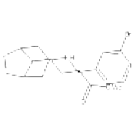 COC(=O)CCCC1C2CCC1CC(NCc1cccc(Br)c1)C2